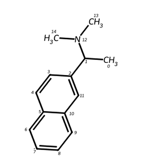 CC(c1ccc2c[c]ccc2c1)N(C)C